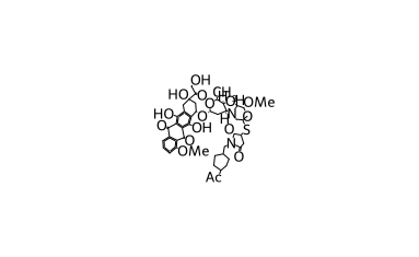 COc1cccc2c1C(=O)c1c(O)c3c(c(O)c1C2=O)C[C@@](O)(C(=O)CO)C[C@@H]3O[C@H]1C[C@H]2[C@H](O[C@@H]3[C@@H](OC)OC(SC4CC(=O)N(CC5CCC(C(C)=O)CC5)C4=O)CN32)[C@H](C)O1